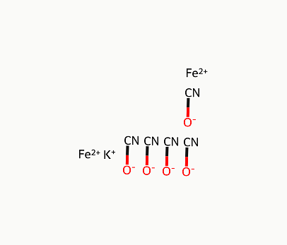 N#C[O-].N#C[O-].N#C[O-].N#C[O-].N#C[O-].[Fe+2].[Fe+2].[K+]